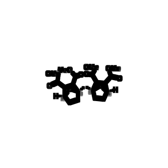 COC(=O)C1=C(C(=O)OC)[C@@]2(C[C@@]34C=C[C@@H](O3)C(C(=O)OC)=C4C(=O)OC)C=C[C@@H]1O2